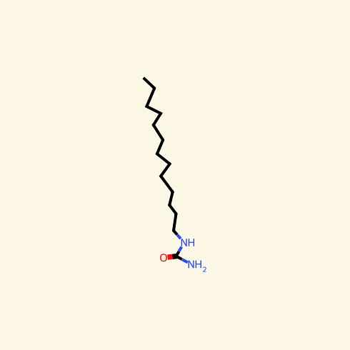 CCCCCCCCCCCCCNC(N)=O